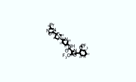 CC(C)c1noc(C2CCN(c3ccc(NC(=O)c4nc(-c5ccccc5OC(F)(F)F)oc4C(F)(F)F)cn3)CC2)n1